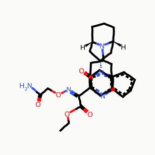 CCOC(=O)/C(=N\OCC(N)=O)c1nc2ccccc2n([C@H]2C[C@H]3CCC[C@@H](C2)N3C2CC3CCCC(C3)C2)c1=O